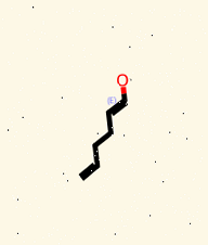 C=CCC/C=C/[O]